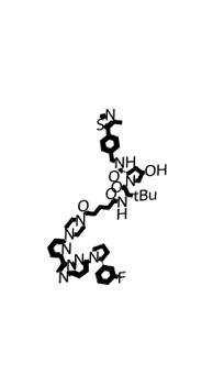 Cc1ncsc1-c1ccc(CNC(=O)[C@@H]2CC(O)CN2C(=O)C(NC(=O)CCCC(=O)N2CCN(c3cccc(-c4cnc5ccc(N6CCC[C@@H]6c6cccc(F)c6)nn45)n3)CC2)C(C)(C)C)cc1